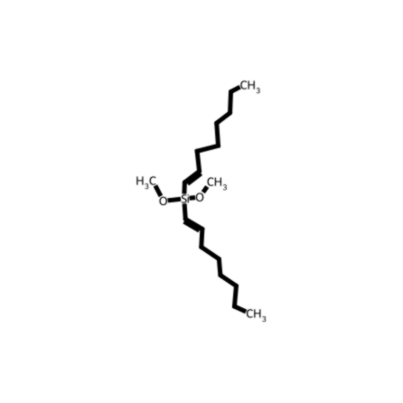 CCCCCCC=C[Si](C=CCCCCCC)(OC)OC